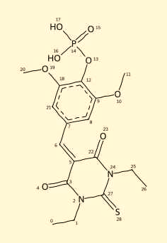 CCN1C(=O)C(=Cc2cc(OC)c(OP(=O)(O)O)c(OC)c2)C(=O)N(CC)C1=S